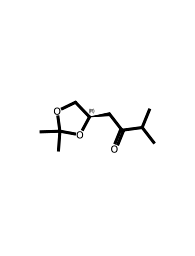 CC(C)C(=O)C[C@@H]1COC(C)(C)O1